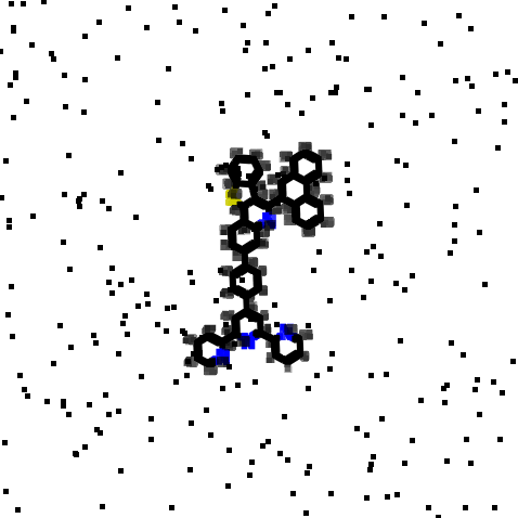 c1ccc(-c2cc(-c3ccc(-c4ccc5c(c4)nc(-c4cc6ccccc6c6ccccc46)c4c6ccccc6sc54)cc3)cc(-c3ccccn3)n2)nc1